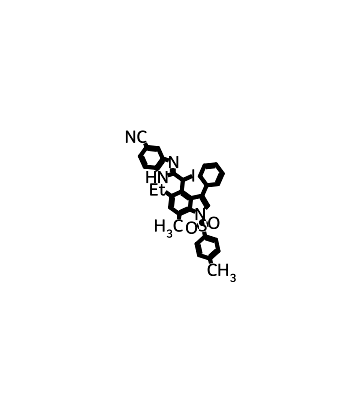 CCc1cc(C)c2c(c(C3C=CC=CC3)cn2S(=O)(=O)c2ccc(C)cc2)c1C(I)c1nc2cc(C#N)ccc2[nH]1